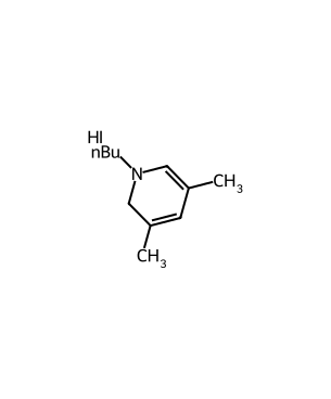 CCCCN1C=C(C)C=C(C)C1.I